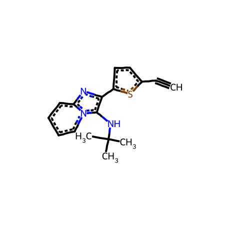 C#Cc1ccc(-c2nc3ccccn3c2NC(C)(C)C)s1